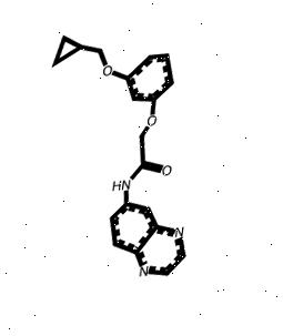 O=C(COc1cccc(OCC2CC2)c1)Nc1ccc2nccnc2c1